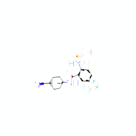 CS(=O)(=O)Nc1ccc(S(F)(F)(F)(F)F)cc1C(=O)NC12CCC(C#N)(CC1)CC2